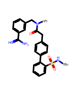 CCCN(Cc1cccc(C(=N)N)c1)C(=O)Cc1ccc(-c2ccccc2S(=O)(=O)NC(C)(C)C)cc1